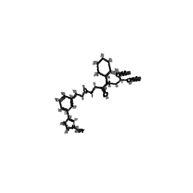 COC(CN(C(=O)CCOCCc1cccc(-c2cn(C(C)C)nn2)c1)C1CCCCC1)OC